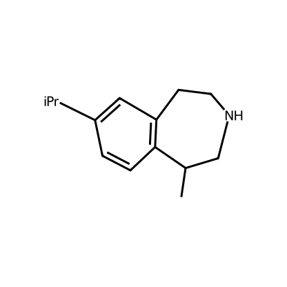 CC(C)c1ccc2c(c1)CCNCC2C